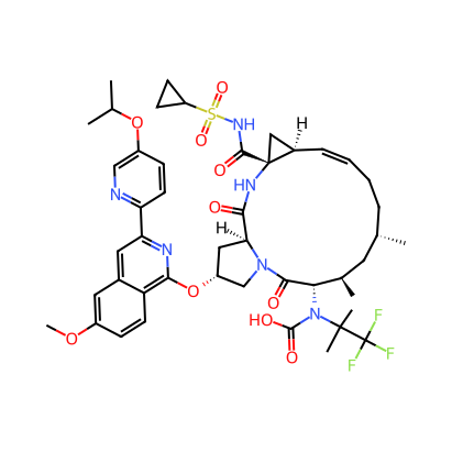 COc1ccc2c(O[C@@H]3C[C@H]4C(=O)N[C@]5(C(=O)NS(=O)(=O)C6CC6)C[C@H]5/C=C\CC[C@H](C)C[C@@H](C)[C@H](N(C(=O)O)C(C)(C)C(F)(F)F)C(=O)N4C3)nc(-c3ccc(OC(C)C)cn3)cc2c1